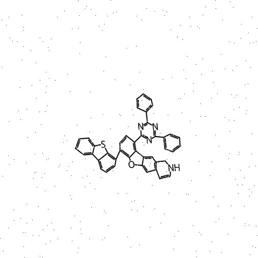 C1=Cc2cc3oc4c(-c5cccc6c5sc5ccccc56)ccc(-c5nc(-c6ccccc6)nc(-c6ccccc6)n5)c4c3cc2CN1